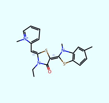 CCn1c(=O)/c(=C2\Sc3ccc(C)cc3N2C)s/c1=C\c1cccc[n+]1C